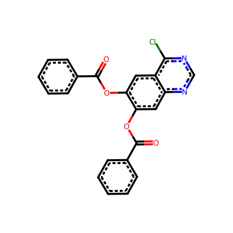 O=C(Oc1cc2ncnc(Cl)c2cc1OC(=O)c1ccccc1)c1ccccc1